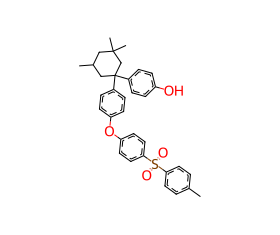 Cc1ccc(S(=O)(=O)c2ccc(Oc3ccc(C4(c5ccc(O)cc5)CC(C)CC(C)(C)C4)cc3)cc2)cc1